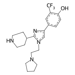 Oc1ccc(-c2cn(CCN3CCCC3)c(C3CCNCC3)n2)cc1C(F)(F)F